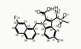 CS(=O)(=O)C(N)c1c(C(=O)O)n(Cc2cccc3ccc(F)cc23)c2ccc(F)cc12